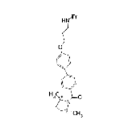 CC(C)NCCCOc1ccc(-c2ccc(C(=O)N3[C@H](C)CC[C@H]3C)cc2)cc1